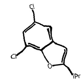 CC(C)c1cc2cc(Cl)cc(Cl)c2o1